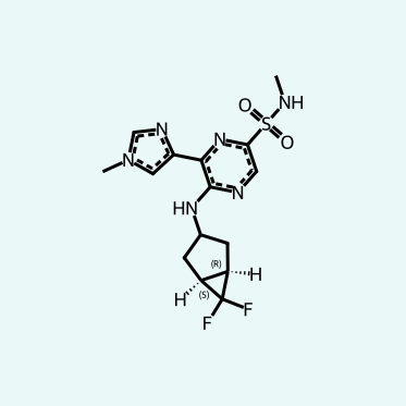 CNS(=O)(=O)c1cnc(NC2C[C@@H]3[C@H](C2)C3(F)F)c(-c2cn(C)cn2)n1